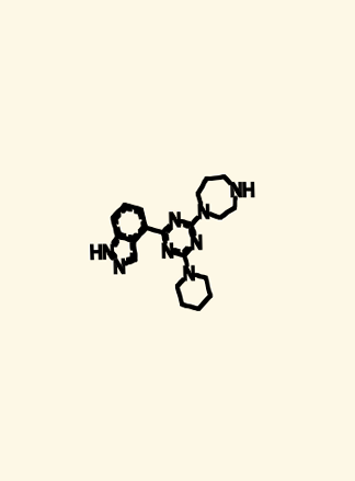 c1cc(-c2nc(N3CCCCC3)nc(N3CCCNCC3)n2)c2cn[nH]c2c1